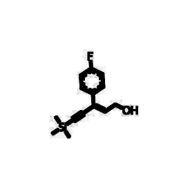 C[Si](C)(C)C#C/C(=C/CO)c1ccc(F)cc1